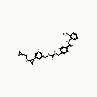 Nc1ccccc1NC(=O)c1ccc(CNC(=O)OCc2cncc(C3CC3NCC3CC3)c2)cc1